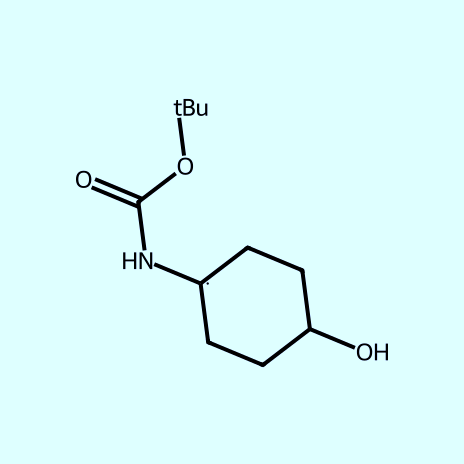 CC(C)(C)OC(=O)N[C]1CCC(O)CC1